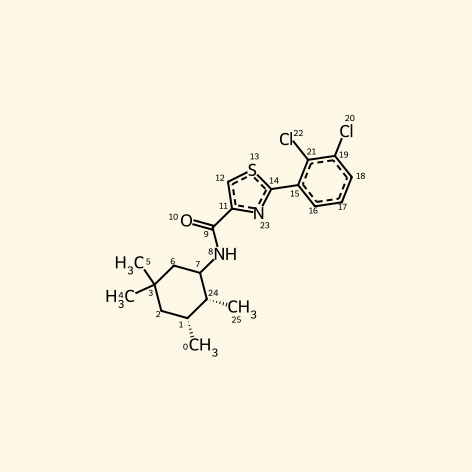 C[C@@H]1CC(C)(C)CC(NC(=O)c2csc(-c3cccc(Cl)c3Cl)n2)[C@@H]1C